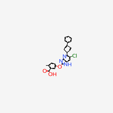 Cc1ccc(Oc2nc3nc(C4C=CC(c5ccccc5)=CC4)c(Cl)cc3[nH]2)cc1C(=O)O